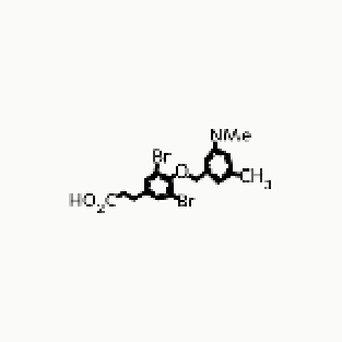 CNc1cc(C)cc(COc2c(Br)cc(CCC(=O)O)cc2Br)c1